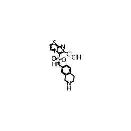 Cl.O=S(=O)(Nc1ccc2c(c1)CNCC2)c1c(Cl)nc2sccn12